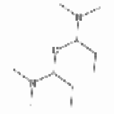 CCC(OC(CC)N(C)C)N(C)C